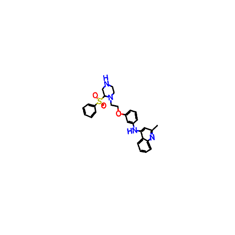 Cc1cc(Nc2cccc(OCCN3CCNCC3S(=O)(=O)c3ccccc3)c2)c2ccccc2n1